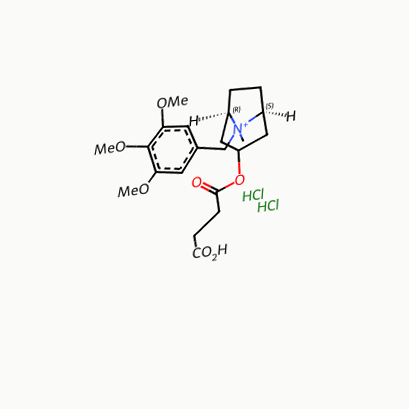 COc1cc(C[N+]2(C)[C@@H]3CC[C@H]2CC(OC(=O)CCC(=O)O)C3)cc(OC)c1OC.Cl.Cl